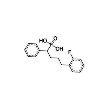 O=P(O)(O)C(CCCc1ccccc1F)c1ccccc1